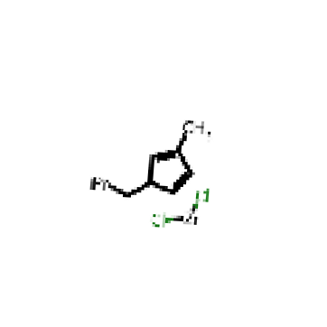 CC1=C[C](CC(C)C)C=C1.[Cl][Zr][Cl]